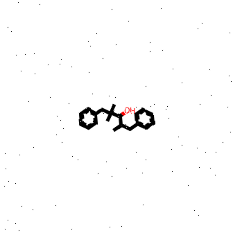 CC(Cc1ccccc1)C(O)C(C)(C)Cc1ccccc1